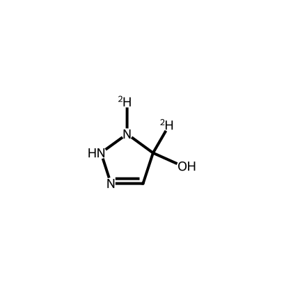 [2H]N1NN=CC1([2H])O